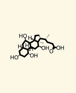 C[C@H](CCC(=O)O)[C@H]1CC[C@H]2[C@@H]3[C@H](O)C[C@@H]4C[C@@H](O)C[C@@H](O)[C@]4(C)[C@H]3C[C@H](O)[C@]12C